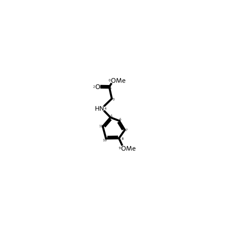 COC(=O)CNc1ccc(OC)cc1